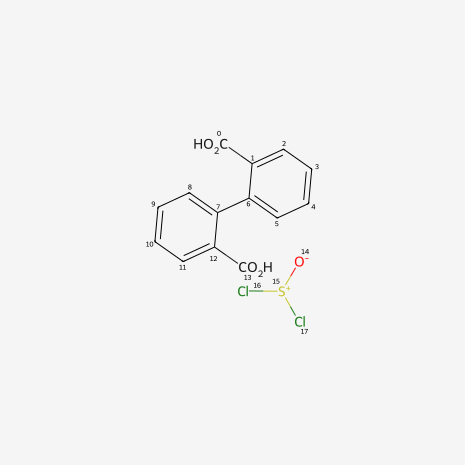 O=C(O)c1ccccc1-c1ccccc1C(=O)O.[O-][S+](Cl)Cl